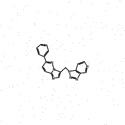 c1ccc(-c2ccc3ncc(Cn4nnc5cnccc54)n3n2)cc1